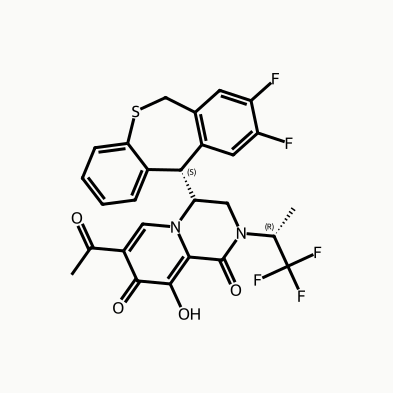 CC(=O)c1cn2c(c(O)c1=O)C(=O)N([C@H](C)C(F)(F)F)CC2[C@H]1c2cc(F)c(F)cc2CSc2ccccc21